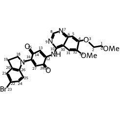 COCCOc1cc2ncnc(NC3=CC(=O)C(N4CCc5cc(Br)ccc54)=CC3=O)c2cc1OC